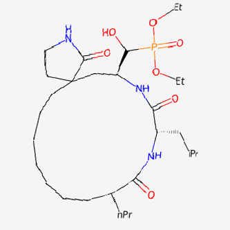 CCCC1CCCCCCCC2(CCNC2=O)C[C@@H](C(O)P(=O)(OCC)OCC)NC(=O)[C@H](CC(C)C)NC1=O